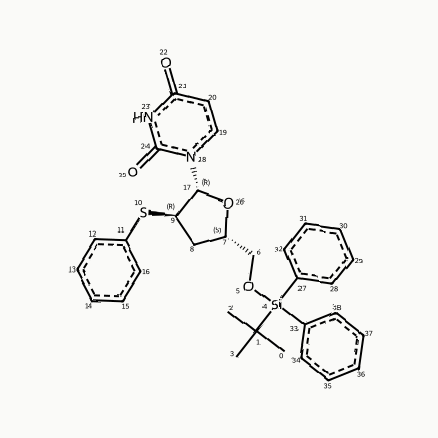 CC(C)(C)[Si](OC[C@@H]1C[C@@H](Sc2ccccc2)[C@H](n2ccc(=O)[nH]c2=O)O1)(c1ccccc1)c1ccccc1